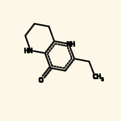 CCc1cc(=O)c2c([nH]1)CCCN2